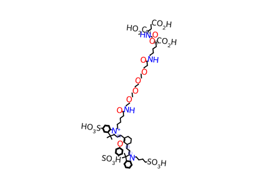 CC1(C)C(/C=C/C2=C(Oc3ccc(S(=O)(=O)O)cc3)C(=C/C=C3/N(CCCCS(=O)(=O)O)c4ccccc4C3(C)C)/CCC2)=[N+](CCCCCC(=O)NCCOCCOCCOCCOCCC(=O)NCCCC[C@H](OC(=O)N[C@@H](CCC(=O)O)C(=O)O)C(=O)O)c2ccc(S(=O)(=O)O)cc21